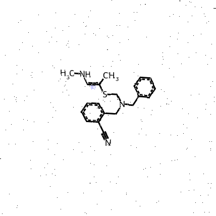 CN/C=C(\C)SCN(Cc1ccccc1)Cc1ccccc1C#N